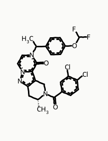 CC(c1ccc(OC(F)F)cc1)n1ccn2nc3c(c2c1=O)CN(C(=O)c1ccc(Cl)c(Cl)c1)[C@H](C)C3